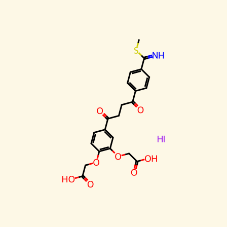 CSC(=N)c1ccc(C(=O)CCC(=O)c2ccc(OCC(=O)O)c(OCC(=O)O)c2)cc1.I